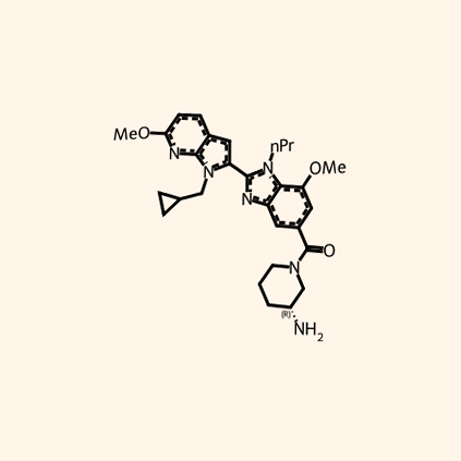 CCCn1c(-c2cc3ccc(OC)nc3n2CC2CC2)nc2cc(C(=O)N3CCC[C@@H](N)C3)cc(OC)c21